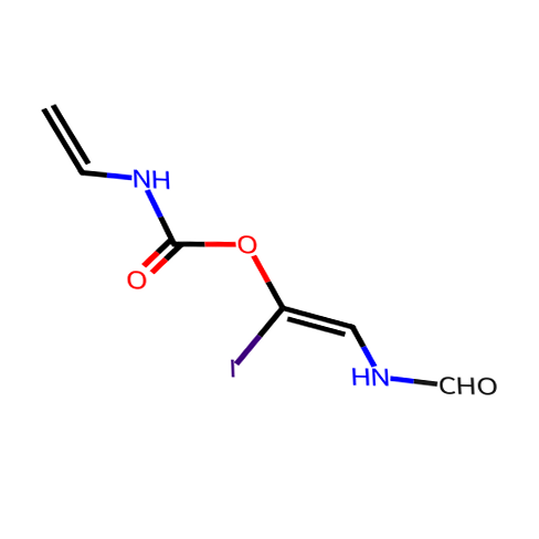 C=CNC(=O)OC(I)=CNC=O